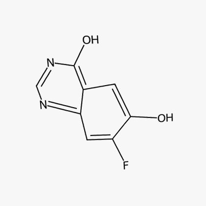 Oc1cc2c(O)ncnc2cc1F